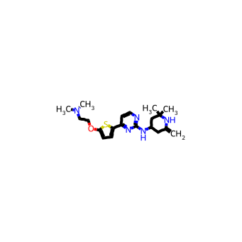 C=C1CC(Nc2nccc(-c3ccc(OCCN(C)C)s3)n2)CC(C)(C)N1